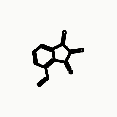 C=Cc1cccc2c(=O)c(=O)c(=O)c12